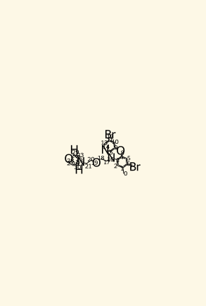 Cc1cc2c(cc1Br)Oc1cc(Br)cnc1N2CCOCCN1C[C@H]2C[C@@H]1CO2